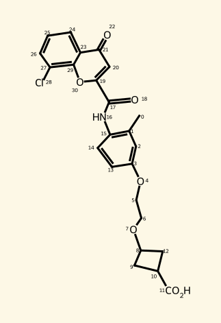 Cc1cc(OCCOC2CC(C(=O)O)C2)ccc1NC(=O)c1cc(=O)c2cccc(Cl)c2o1